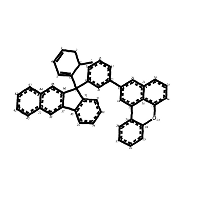 CC1CC=CC=C1C1(c2cccc(-c3cc4c5c(cccc5c3)Oc3ccccc3-4)c2)c2ccccc2-c2cc3ccccc3cc21